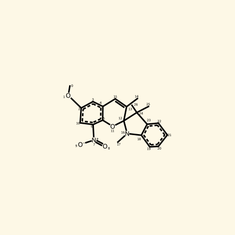 COc1cc2c(c([N+](=O)[O-])c1)OC1(C(C)=C2)N(C)c2ccccc2C1(C)C